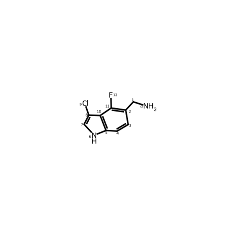 NCc1ccc2[nH]cc(Cl)c2c1F